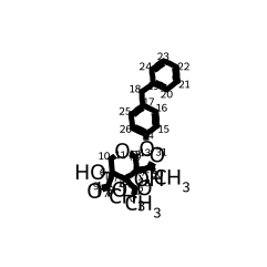 CC(=O)[C@]1(O)[C@@](O)(C(C)=O)CO[C@H](Oc2ccc(Cc3ccccc3)cc2)[C@@]1(O)C(C)=O